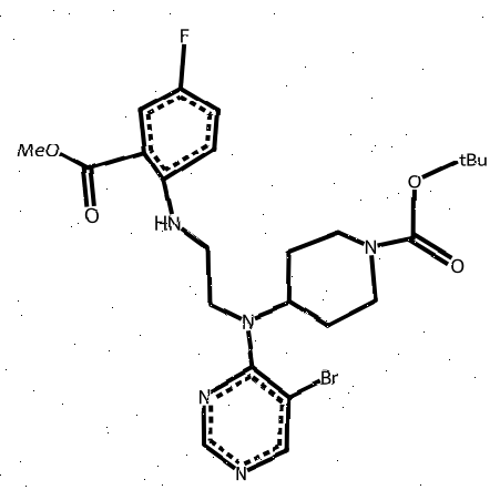 COC(=O)c1cc(F)ccc1NCCN(c1ncncc1Br)C1CCN(C(=O)OC(C)(C)C)CC1